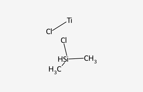 C[SiH](C)Cl.[Cl][Ti]